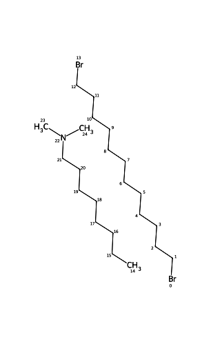 BrCCCCCCCCCCCCBr.CCCCCCCCN(C)C